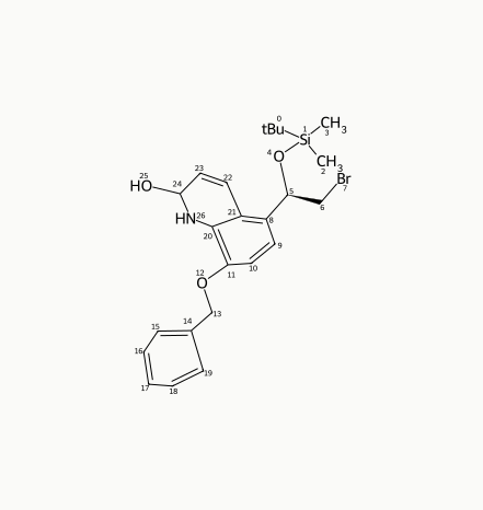 CC(C)(C)[Si](C)(C)O[C@@H](CBr)c1ccc(OCc2ccccc2)c2c1C=CC(O)N2